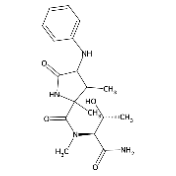 CC1C(Nc2ccccc2)C(=O)NC1(C)C(=O)N(C)[C@H](C(N)=O)[C@@H](C)O